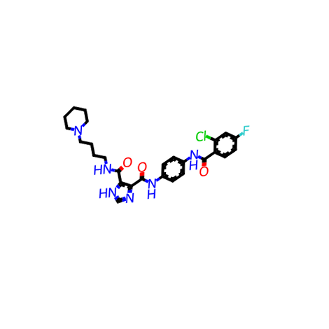 O=C(Nc1ccc(NC(=O)c2nc[nH]c2C(=O)NCCCCN2CCCCC2)cc1)c1ccc(F)cc1Cl